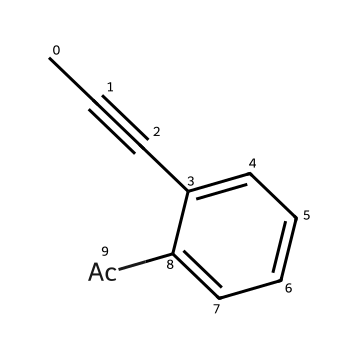 CC#Cc1ccccc1C(C)=O